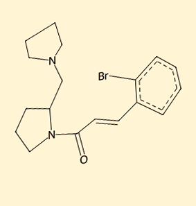 O=C(C=Cc1ccccc1Br)N1CCCC1CN1CCCC1